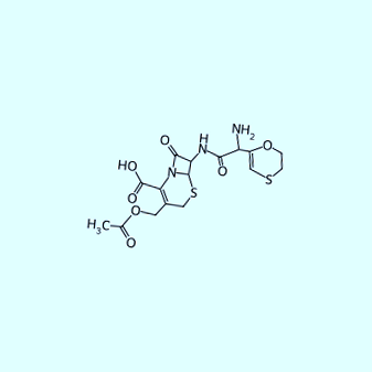 CC(=O)OCC1=C(C(=O)O)N2C(=O)C(NC(=O)C(N)C3=CSCCO3)C2SC1